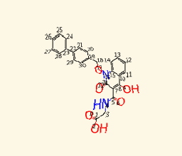 O=C(O)CNC(=O)c1c(O)c2ccccc2n(OCc2ccc(-c3ccccc3)cc2)c1=O